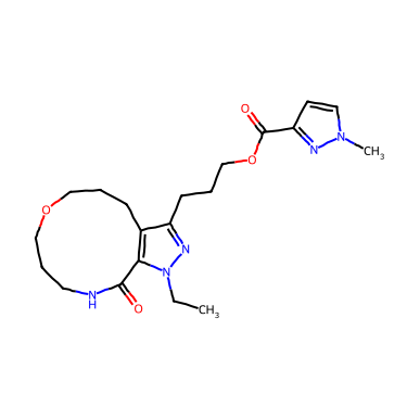 CCn1nc(CCCOC(=O)c2ccn(C)n2)c2c1C(=O)NCCCOCCC2